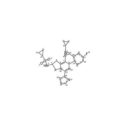 O=S(=O)(NC1CC2=C(C#CC3CC3)C(c3ccc(F)cc3Cl)N=C(c3nccs3)N2C1)C1CC1